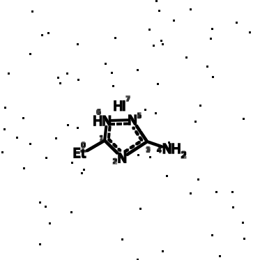 CCc1nc(N)n[nH]1.I